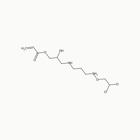 C=CC(=O)OCC(O)CNCCC[SiH2]OCC(Cl)Cl